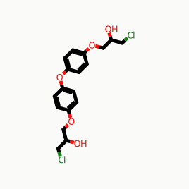 OC(CCl)COc1ccc(Oc2ccc(OCC(O)CCl)cc2)cc1